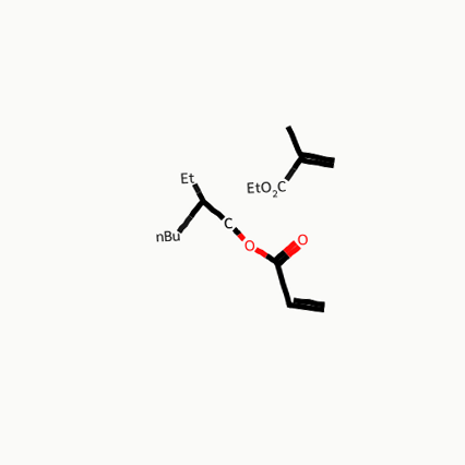 C=C(C)C(=O)OCC.C=CC(=O)OCC(CC)CCCC